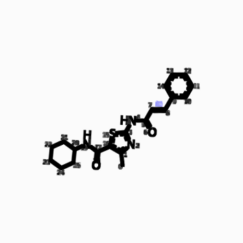 Cc1nc(NC(=O)/C=C/c2ccccc2)sc1C(=O)NC1CCCCC1